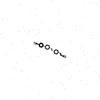 N#CC=C[C@H]1CC[C@H](CC[C@H]2CC[C@H](c3ccc(C#N)cc3)CC2)CC1